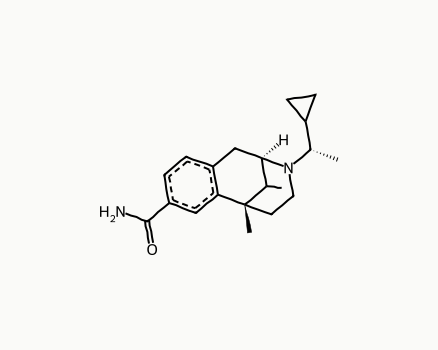 CC1[C@H]2Cc3ccc(C(N)=O)cc3[C@@]1(C)CCN2[C@@H](C)C1CC1